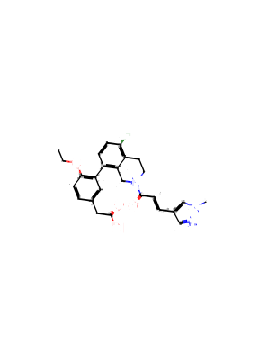 CCOc1ccc(CC(=O)O)cc1-c1ccc(F)c2c1CN(C(=O)C=Cc1cnn(C)c1)CC2